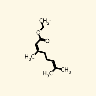 [CH2]COC(=O)C=C(C)CCC=C(C)C